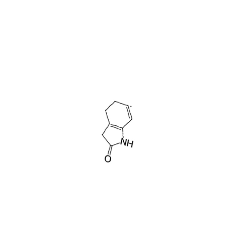 O=C1CC2=C(C=[C]CC2)N1